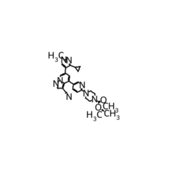 Cn1cc(-c2cc(-c3ccc(N4CCN(C(=O)OC(C)(C)C)CC4)nc3)c3c(C#N)cnn3c2)c(C2CC2)n1